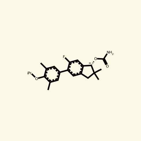 Cc1cc(-c2cc3c(cc2F)[C@H](OC(N)=O)C(C)(C)C3)cc(C)c1OC(C)C